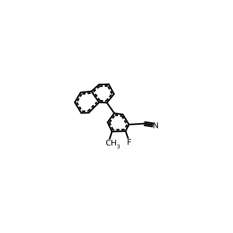 Cc1cc(-c2cccc3ccccc23)cc(C#N)c1F